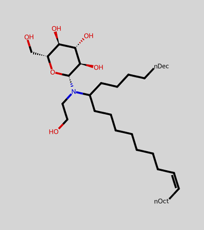 CCCCCCCC/C=C\CCCCCCCC(CCCCCCCCCCCCCC)N(CCO)[C@@H]1O[C@H](CO)[C@@H](O)[C@H](O)[C@H]1O